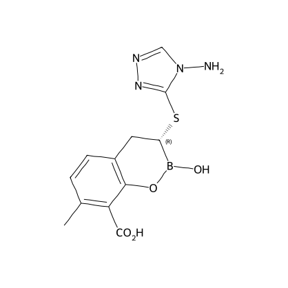 Cc1ccc2c(c1C(=O)O)OB(O)[C@@H](Sc1nncn1N)C2